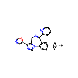 c1ccc(C2=NCc3c(-c4cnco4)ncn3-c3ccc([C@]45C[C@H]4C5)cc32)nc1